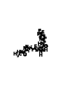 CNC(=O)c1cn(CCC(F)CN2C=C(C(=O)NCc3ccc(C(F)(F)F)cn3)NN2)nn1